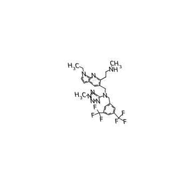 CCn1ccc2cc(CN(Cc3cc(C(F)(F)F)cc(C(F)(F)F)c3)c3nnn(C)n3)c(CCNC)nc21